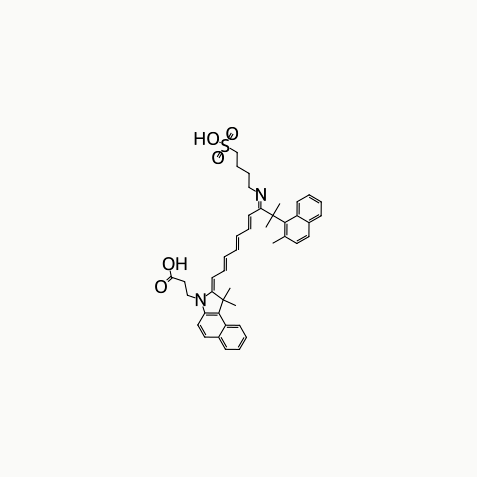 Cc1ccc2ccccc2c1C(C)(C)C(/C=C/C=C/C=C/C=C1/N(CCC(=O)O)c2ccc3ccccc3c2C1(C)C)=N/CCCCS(=O)(=O)O